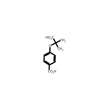 CC(C)(Oc1ccc(C(=O)O)cc1)C(=O)O